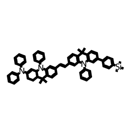 CC1(C)c2ccc(/C=C/c3ccc4c(c3)N(c3ccccc3)C3C=C(N(c5ccccc5)c5ccccc5)CCC3C4(C)C)cc2N(c2ccccc2)c2cc(-c3ccc([Si](C)(C)C)cc3)ccc21